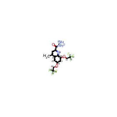 Cc1cc(C(=O)NN)nc2c(OCC(F)(F)F)cc(OCC(F)(F)F)cc12